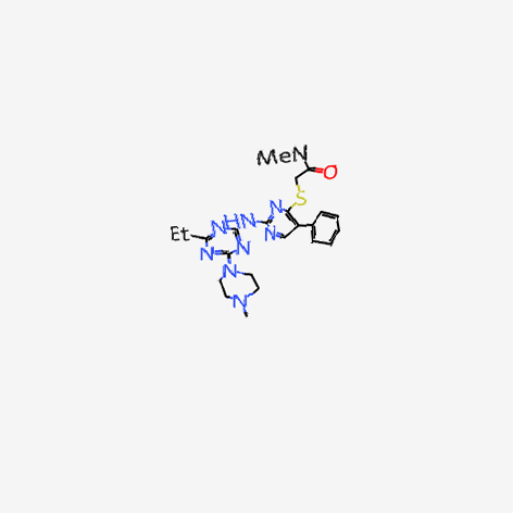 CCc1nc(Nc2ncc(-c3ccccc3)c(SCC(=O)NC)n2)nc(N2CCN(C)CC2)n1